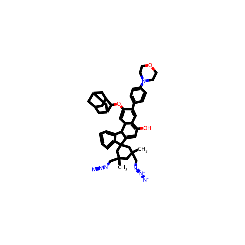 CC1(CN=[N+]=[N-])CC(C)(CN=[N+]=[N-])CC2(C1)C1=CC(O)=C3C=C(c4ccc(N5CCOCC5)cc4)C(OC4C5CC6CC(C5)CC4C6)=CC3C1c1ccccc12